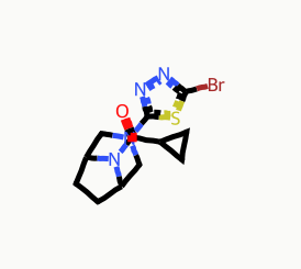 O=C(C1CC1)N1C2CCC1CN(c1nnc(Br)s1)C2